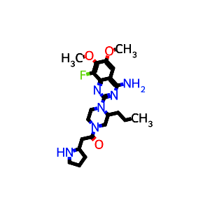 CCCC1CN(C(=O)CC2CCCN2)CCN1c1nc(N)c2cc(OC)c(OC)c(F)c2n1